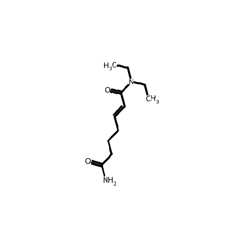 CCN(CC)C(=O)C=CCCCC(N)=O